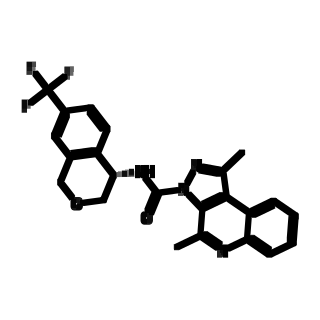 Cc1nn(C(=O)N[C@@H]2COCc3cc(C(F)(F)F)ccc32)c2c(C)nc3ccccc3c12